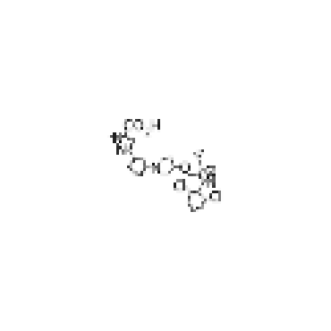 Cn1nc(-c2cccc(N3CCC(OCc4c(-c5c(Cl)cccc5Cl)noc4C4CC4)CC3)c2)cc1C(=O)O